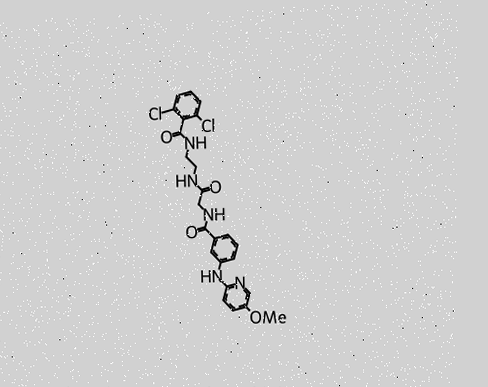 COc1ccc(Nc2cccc(C(=O)NCC(=O)NCCNC(=O)c3c(Cl)cccc3Cl)c2)nc1